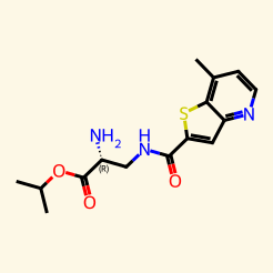 Cc1ccnc2cc(C(=O)NC[C@@H](N)C(=O)OC(C)C)sc12